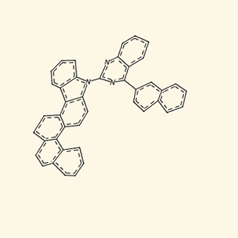 c1ccc2cc(-c3nc(-n4c5ccccc5c5c6ccc7ccc8ccccc8c7c6ccc54)nc4ccccc34)ccc2c1